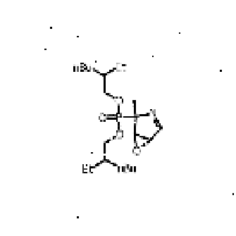 CCCCC(CC)COP(=O)(OCC(CC)CCCC)C1(C)N=CC2OC21